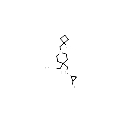 CCC1C[C@H]1NCC1(COC)CCN(CC2(C(=O)O)CCC2)CC1